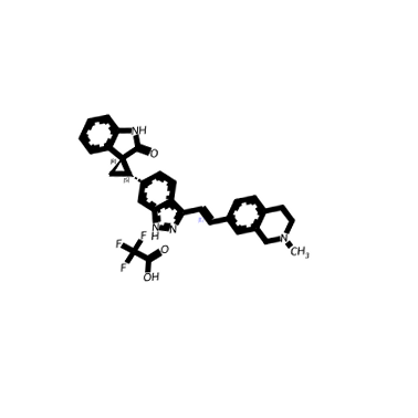 CN1CCc2ccc(/C=C/c3n[nH]c4cc([C@@H]5C[C@@]56C(=O)Nc5ccccc56)ccc34)cc2C1.O=C(O)C(F)(F)F